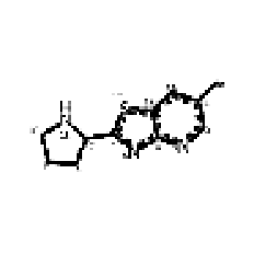 Cc1cnc2nc(C3CCCN3)sc2c1